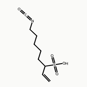 C=CC(CCCCCN=C=O)S(=O)(=O)O